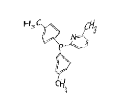 Cc1ccc(P(c2ccc(C)cc2)c2cccc(C)n2)cc1